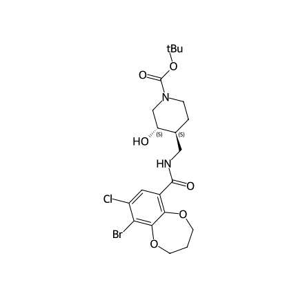 CC(C)(C)OC(=O)N1CC[C@@H](CNC(=O)c2cc(Cl)c(Br)c3c2OCCCO3)[C@H](O)C1